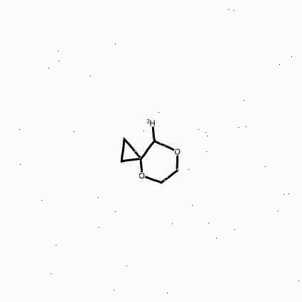 [2H]C1OCCOC12CC2